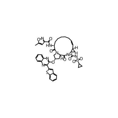 Cc1cc(C(=O)N[C@H]2CCCCC/C=C\[C@@H]3C[C@@]3(C(=O)NS(=O)(=O)C3CC3)NC(=O)[C@@H]3C[C@@H](Oc4nc5ccccc5nc4-c4cc5ccccc5s4)CN3C2=O)no1